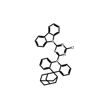 Clc1nc(N2c3ccccc3C3(c4ccccc42)C2CC4CC(C2)CC3C4)nc(-n2c3ccccc3c3ccccc32)n1